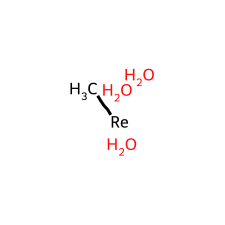 O.O.O.[CH3][Re]